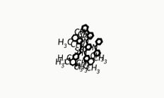 CC1(C)CCC(C)(C)c2cc(N3c4cc(N(c5ccccc5)c5ccccc5)cc5c4B(c4cc6c(cc4N5c4cccc5c4oc4ccccc45)C(C)(C)CCC6(C)C)c4sc5cc6c(cc5c43)C(C)(C)CCC6(C)C)ccc21